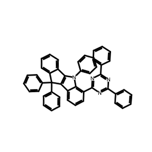 c1ccc(-c2nc(-c3ccccc3)nc(-c3cccc4c5c(n(-c6ccccc6)c34)-c3ccccc3C5(c3ccccc3)c3ccccc3)n2)cc1